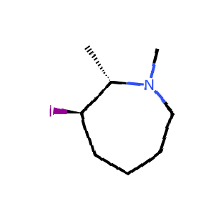 C[C@H]1[C@H](I)CCCCN1C